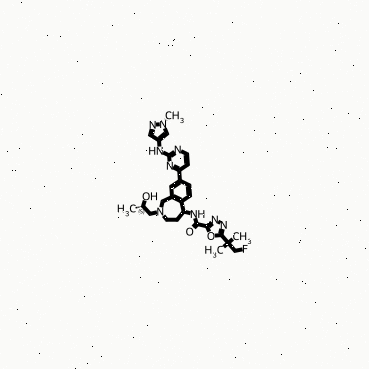 C[C@H](O)CN1CCC(NC(=O)c2nnc(C(C)(C)CF)o2)c2ccc(-c3ccnc(Nc4cnn(C)c4)n3)cc2C1